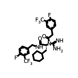 N=C(N)N(C(=O)Cc1ccc(F)c(C(F)(F)F)c1)[C@H](CC1CCCCC1)C(=O)NCc1ccc(F)c(C(F)(F)F)c1